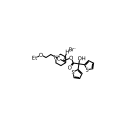 CCOCC[N+]12CCC(CC1)[C@@H](OC(=O)C(O)(c1cccs1)c1cccs1)C2.[Br-]